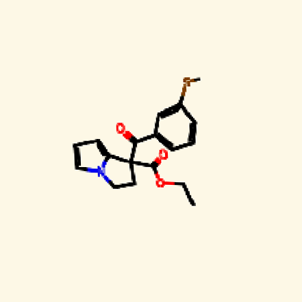 CCOC(=O)C1(C(=O)c2cccc(SC)c2)CCn2cccc21